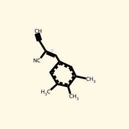 C#C/C(C#N)=C/c1cc(C)c(C)c(C)c1